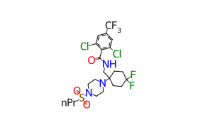 CCCS(=O)(=O)N1CCN(C2(CNC(=O)c3c(Cl)cc(C(F)(F)F)cc3Cl)CCC(F)(F)CC2)CC1